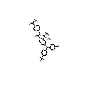 CC(=O)N1CCC(CC(=O)N2CCN(C(c3ccc(C(F)(F)F)cc3)c3ccc(Br)cn3)C[C@@H]2C(C)(C)C)CC1